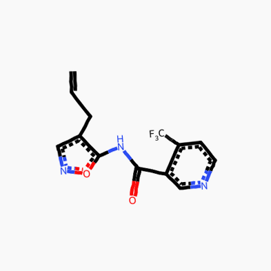 C=CCc1cnoc1NC(=O)c1cnccc1C(F)(F)F